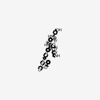 CC1(O)CCC(CNc2ccc(S(=O)(=O)NC(=O)c3ccc(N4CCC5(CC4)CC(N4CCN(C6CCOCC6)C[C@H]4c4ccccc4C(C)(C)O)C5)cc3N3c4cc5cc[nH]c5nc4O[C@H]4COCC[C@@H]43)cc2[N+](=O)[O-])CC1